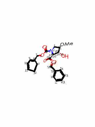 CO[C@H]1CN(C(=O)OCc2ccccc2)[C@H](C(=O)OCc2ccccc2)[C@H]1O